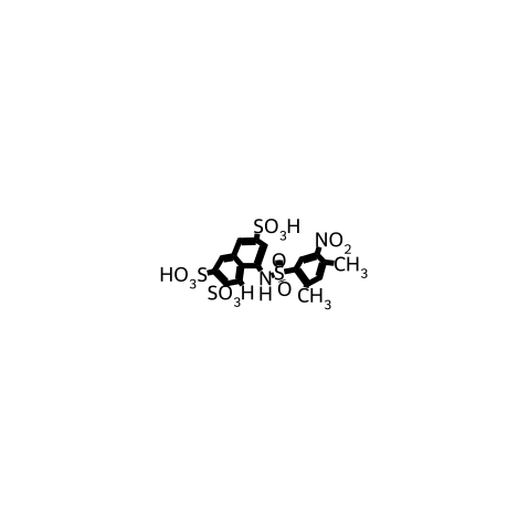 Cc1cc(C)c(S(=O)(=O)Nc2cc(S(=O)(=O)O)cc3cc(S(=O)(=O)O)cc(S(=O)(=O)O)c23)cc1[N+](=O)[O-]